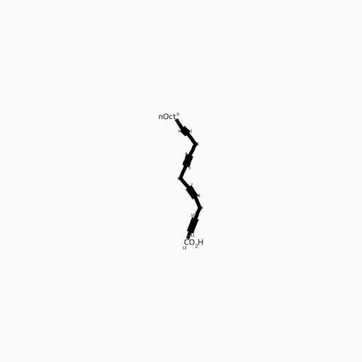 CCCCCCCCC#CCC#CCC#CCC#CC(=O)O